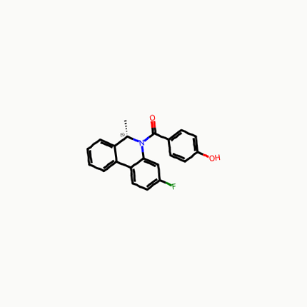 C[C@H]1c2ccccc2-c2ccc(F)cc2N1C(=O)c1ccc(O)cc1